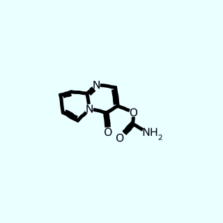 NC(=O)Oc1cnc2ccccn2c1=O